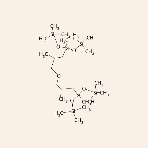 CC(COCC(C)C[Si](C)(O[Si](C)(C)C)O[Si](C)(C)C)C[Si](C)(O[Si](C)(C)C)O[Si](C)(C)C